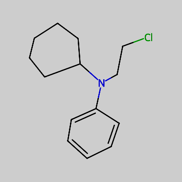 ClCCN(c1ccccc1)C1CCCCC1